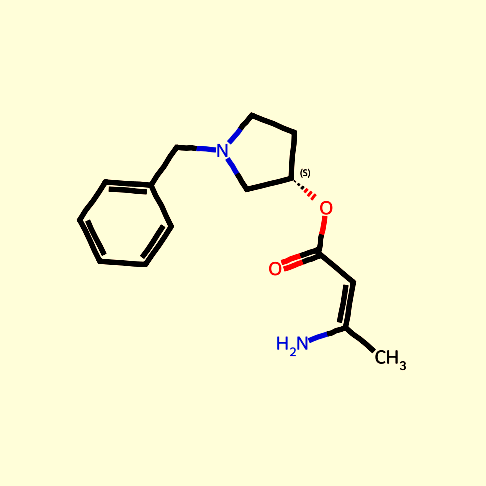 CC(N)=CC(=O)O[C@H]1CCN(Cc2ccccc2)C1